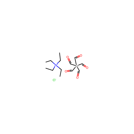 CC[N+](CC)(CC)CC.O=[CH][Cr]([CH]=O)([CH]=O)([CH]=O)[CH]=O.[Cl-]